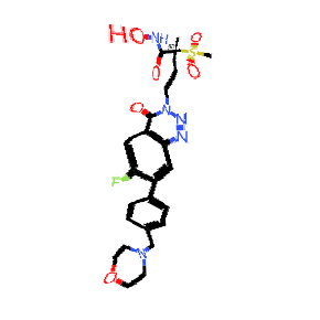 C[C@@](CCn1nnc2cc(-c3ccc(CN4CCOCC4)cc3)c(F)cc2c1=O)(C(=O)NO)S(C)(=O)=O